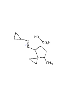 CC1CCC(/C=C/C2CC2)C12CC2.O=C(O)O